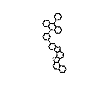 c1ccc(-c2c3ccccc3c(-c3cccc(-c4ccc5c(c4)sc4ccc6c(sc7ccc8ccccc8c76)c45)c3)c3ccccc23)cc1